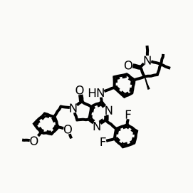 COc1ccc(CN2Cc3nc(-c4c(F)cccc4F)nc(Nc4ccc([C@@]5(C)CC(C)(C)N(C)C5=O)cc4)c3C2=O)c(OC)c1